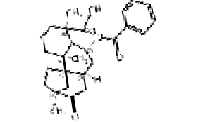 C[C@]12CC[C@]3(C1)[C@H](CC2=O)C[C@@H](OC(=O)c1ccccc1)C1[C@](C)(C(=O)O)CCC[C@@]13C